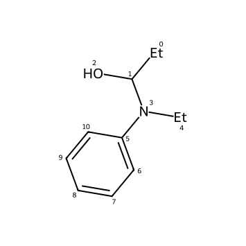 CCC(O)N(CC)c1ccccc1